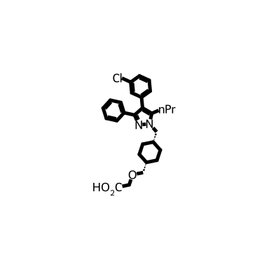 CCCc1c(-c2cccc(Cl)c2)c(-c2ccccc2)nn1C[C@H]1CC[C@@H](COCC(=O)O)CC1